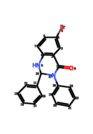 O=C1c2cc(Br)ccc2NC(c2ccccc2)N1c1ccccc1